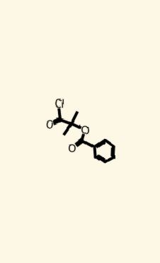 CC(C)(OC(=O)c1ccccc1)C(=O)Cl